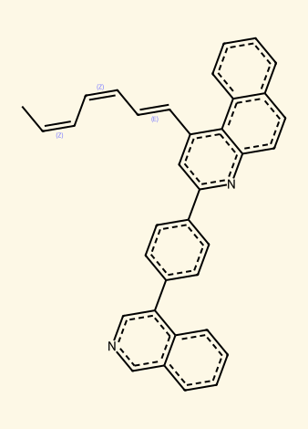 C\C=C/C=C\C=C\c1cc(-c2ccc(-c3cncc4ccccc34)cc2)nc2ccc3ccccc3c12